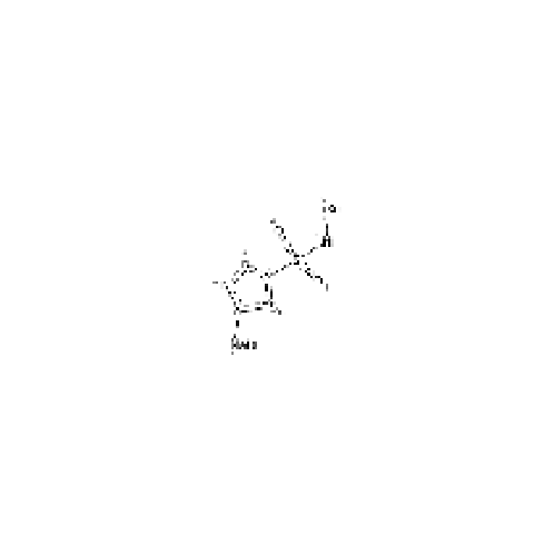 CCC(C)NS(=O)(=O)c1nnc(NC)s1